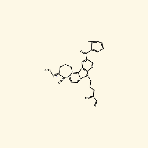 C=CC(=O)OCCn1c2ccc(C(=O)c3ccccc3C)cc2c2c3c(ccc21)C(=O)/C(=N/OC(C)=O)CCO3